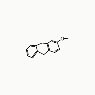 COc1ccc2c(c1)Cc1ccccc1C2